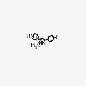 Cn1nc(-c2ccc(F)cc2)cc1N1CCNCC1